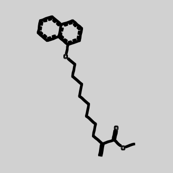 C=C(CCCCCCCCOc1cccc2ccccc12)C(=O)OC